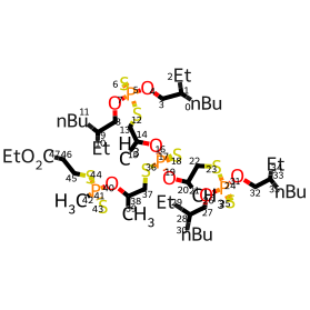 CCCCC(CC)COP(=S)(OCC(CC)CCCC)SCC(C)OP(=S)(OC(C)CSP(=S)(OCC(CC)CCCC)OCC(CC)CCCC)SCC(C)OP(C)(=S)SCCC(=O)OCC